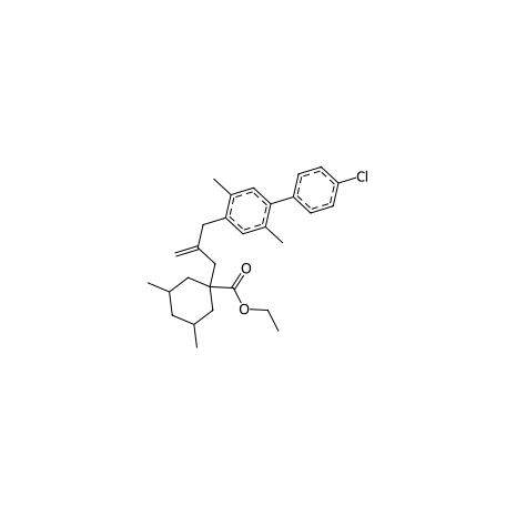 C=C(Cc1cc(C)c(-c2ccc(Cl)cc2)cc1C)CC1(C(=O)OCC)CC(C)CC(C)C1